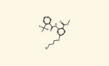 COC(=O)c1ccc(OCCCBr)cc1NC(=O)c1ccccc1C(F)(F)F